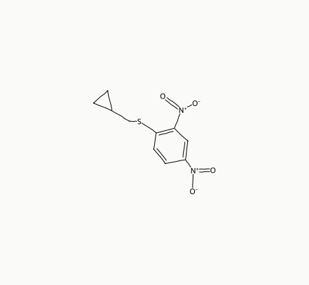 O=[N+]([O-])c1ccc(SCC2CC2)c([N+](=O)[O-])c1